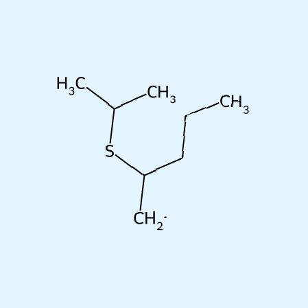 [CH2]C(CCC)SC(C)C